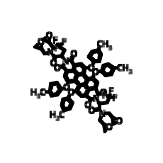 Cc1ccc(Oc2cc3c4c(cc(Oc5ccc(C)cc5)c5c6c(Oc7ccc(C)cc7)cc7c8c(cc(Oc9ccc(C)cc9)c(c2c45)c86)C(=O)N(C(CC(F)(F)F)C(=O)N(CC2CO2)CC2CO2)C7=O)C(=O)N(C(CC(F)(F)F)C(=O)N(CC2CO2)CC2CO2)C3=O)cc1